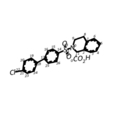 O=C(O)[C@H]1c2ccccc2CCN1S(=O)(=O)c1ccc(-c2ccc(Cl)cc2)cc1